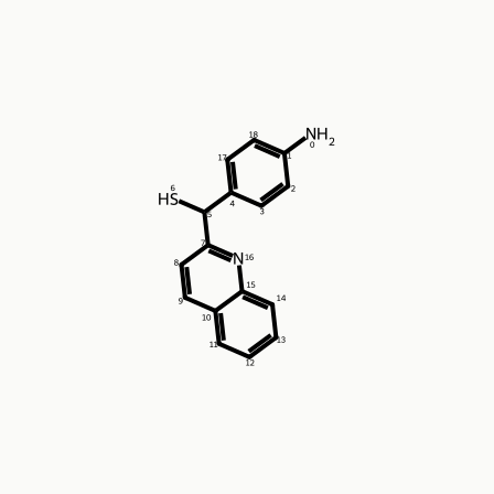 Nc1ccc(C(S)c2ccc3ccccc3n2)cc1